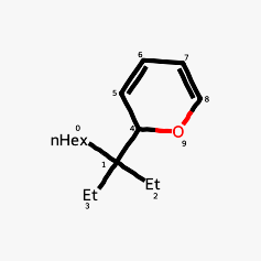 CCCCCCC(CC)(CC)C1C=CC=CO1